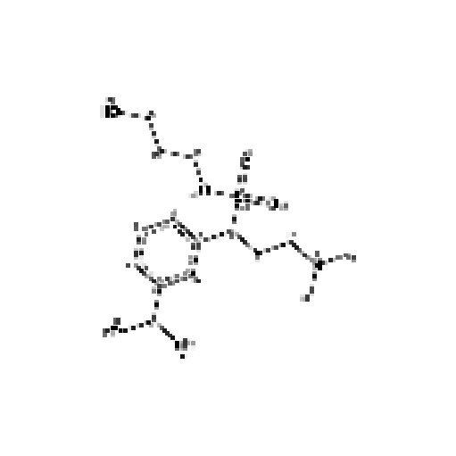 CCCC(CCC)c1cccc(C(CCN(C)C)S(=O)(=O)OCCCO)c1